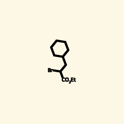 CCOC(=O)C(Br)CC1CCCCC1